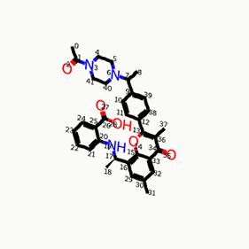 CC(=O)N1CCN(C(C)c2ccc(-c3oc4c([C@@H](C)Nc5ccccc5C(=O)O)cc(C)cc4c(=O)c3C)cc2)CC1